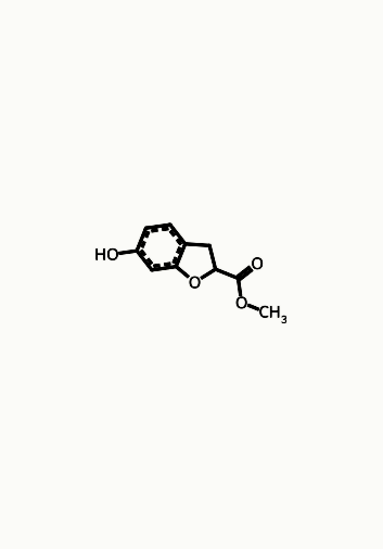 COC(=O)C1Cc2ccc(O)cc2O1